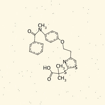 CN(C(=O)c1ccccc1)c1ccc(OCCc2csc(SC(C)(C)C(=O)O)n2)cc1